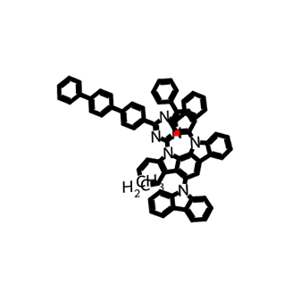 C=Cc1c(/C=C\C)n(-c2nc(-c3ccccc3)nc(-c3ccc(-c4ccc(-c5ccccc5)cc4)cc3)n2)c2c1c(-n1c3ccccc3c3ccccc31)cc1c3ccccc3n(-c3ccc(-c4ccccc4)cc3)c12